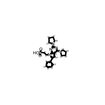 O=S(=O)(O)CCn1c(-c2ccccc2)cc2c(N3CCCC3)nc(N3CCCC3)nc21